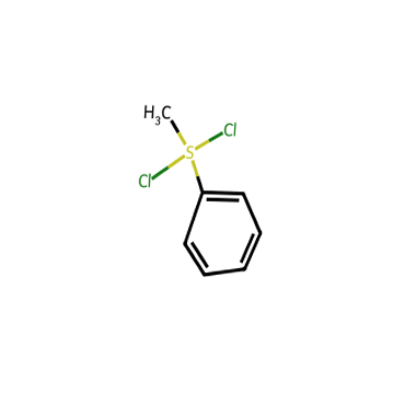 CS(Cl)(Cl)c1ccccc1